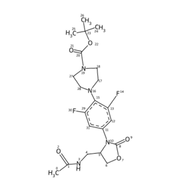 CC(=O)NCC1COC(=O)N1c1cc(F)c(N2CCN(C(=O)OC(C)(C)C)CC2)c(F)c1